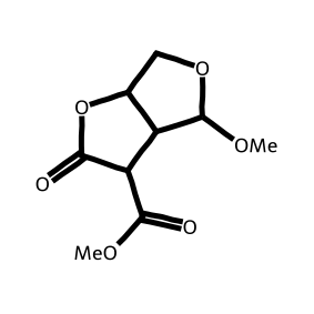 COC(=O)C1C(=O)OC2COC(OC)C21